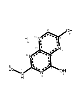 CCNc1nc(O)c2nc(O)cnc2n1.I